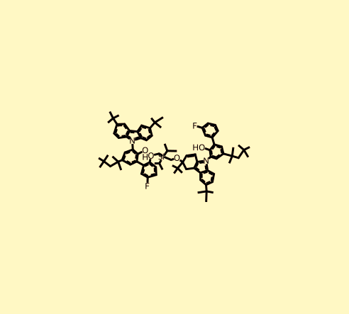 CC(C)[Si](COc1ccc(F)cc1-c1cc(C(C)(C)CC(C)(C)C)cc(-n2c3ccc(C(C)(C)C)cc3c3cc(C(C)(C)C)ccc32)c1O)(COC1(C(C)(C)C)C=Cc2c(c3cc(C(C)(C)C)ccc3n2-c2cc(C(C)(C)CC(C)(C)C)cc(-c3cccc(F)c3)c2O)C1)C(C)C